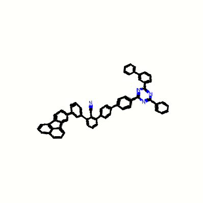 N#Cc1c(-c2ccc(-c3ccc(-c4nc(-c5ccccc5)nc(-c5cccc(-c6ccccc6)c5)n4)cc3)cc2)cccc1-c1cccc(-c2ccc3c(c2)-c2cccc4cccc-3c24)c1